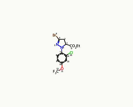 CCOC(=O)C1CC(Br)=NN1c1ccc(OC(F)(F)F)cc1Cl